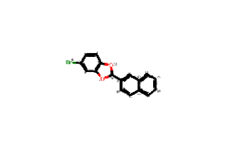 Brc1ccc2c(c1)OC(c1ccc3ccccc3c1)O2